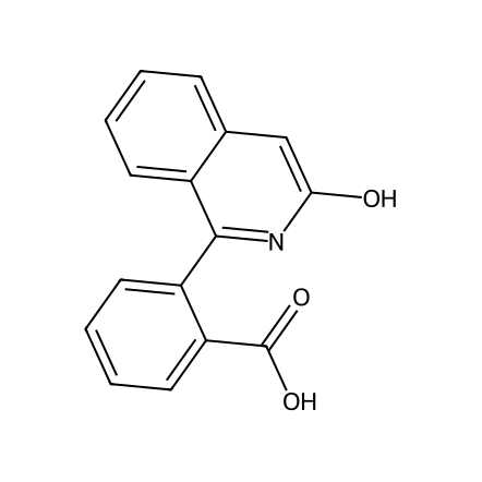 O=C(O)c1ccccc1-c1nc(O)cc2ccccc12